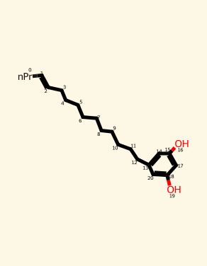 CCCC=CCCCCCCCCCCc1cc(O)cc(O)c1